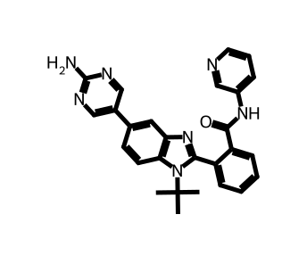 CC(C)(C)n1c(-c2ccccc2C(=O)Nc2cccnc2)nc2cc(-c3cnc(N)nc3)ccc21